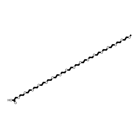 COCCOCCOCCOCCOCCOCCOCCOCCOCCOCCOCCOCCOCCOCCOCCOCCOCC(=O)O